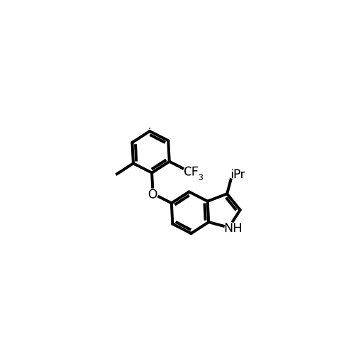 Cc1c[c]cc(C(F)(F)F)c1Oc1ccc2[nH]cc(C(C)C)c2c1